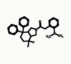 CN(C)c1ccccc1CC(=O)N1CC2C(C1)C(c1ccccc1)(c1ccccc1)CCC2(F)F